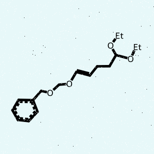 CCOC(CCC=COCOCc1ccccc1)OCC